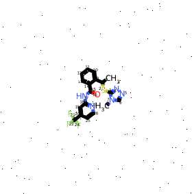 CC(Sc1nncn1C)c1ccccc1C(=O)Nc1cc(C(F)(F)F)ccn1